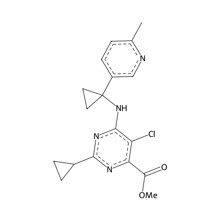 COC(=O)c1nc(C2CC2)nc(NC2(c3ccc(C)nc3)CC2)c1Cl